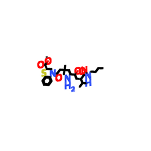 CCCCNC(=O)[C@H](C[C@H](O)[C@@H](N)CC(C)(C)CC(=O)N1C[C@H](C(=O)OC)Sc2ccccc21)C(C)C